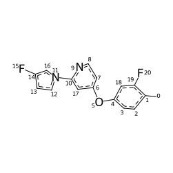 Cc1ccc(Oc2ccnc(-n3ccc(F)c3)c2)cc1F